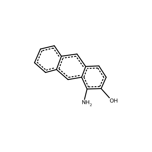 Nc1c(O)ccc2cc3ccccc3cc12